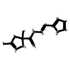 CC1=NOC(C)(C(=O)O/N=C/c2ccco2)C1